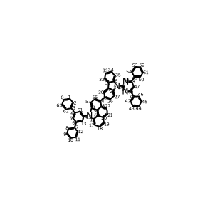 c1ccc(-c2cc(-c3ccccc3)cc(-n3c4cccc5ccc6c(-c7ccc8c(c7)c7ccccc7n8-c7nc(-c8ccccc8)cc(-c8ccccc8)n7)ccc3c6c54)c2)cc1